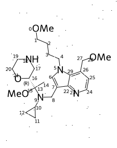 COCCCCn1cc(CN(C2CC2)C(C)(OC)[C@H]2CNCCO2)c2nccc(COC)c21